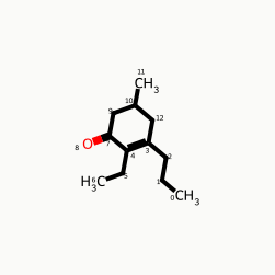 CCCC1=C(CC)C(=O)CC(C)C1